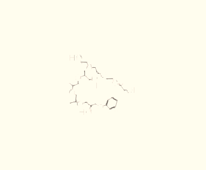 CC(CO)OCC(C)OCC(C)OCC(O)COc1ccccc1.OCCOCCOCCOCCO